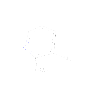 COc1n[c]ccc1[N+](=O)[O-]